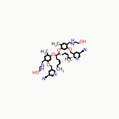 C=C/C=C\CC(Oc1cc(OCc2cncc(C#N)c2)c(CNCCO)cc1C)[C@@H](C/C=C\C=C)Oc1cc(OCc2cncc(C#N)c2)c(CNCCO)cc1C